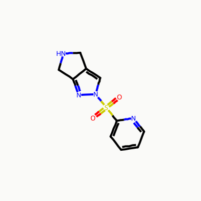 O=S(=O)(c1ccccn1)n1cc2c(n1)CNC2